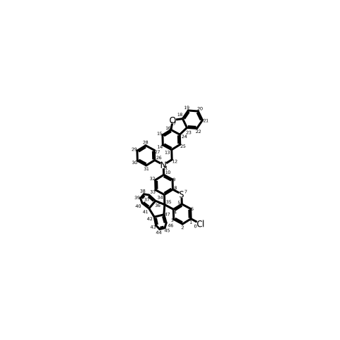 Clc1ccc2c(c1)Sc1cc(N(Cc3ccc4oc5ccccc5c4c3)c3ccccc3)ccc1C21c2ccccc2-c2ccccc21